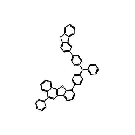 c1ccc(-c2cc3c4cccc(-c5ccc(N(c6ccccc6)c6ccc(-c7ccc8sc9ccccc9c8c7)cc6)cc5)c4oc3c3ccccc23)cc1